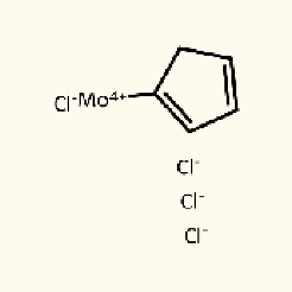 [Cl-].[Cl-].[Cl-].[Cl-].[Mo+4][C]1=CC=CC1